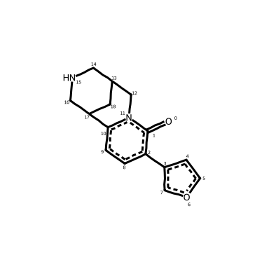 O=c1c(-c2ccoc2)ccc2n1CC1CNCC2C1